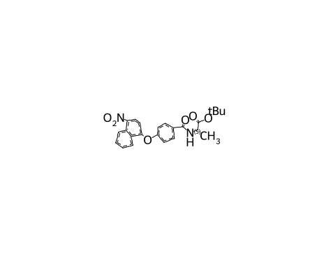 C[C@H](NC(=O)c1ccc(Oc2ccc([N+](=O)[O-])c3ccccc23)cc1)C(=O)OC(C)(C)C